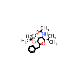 CC(=O)NC1[C@H](C(C)C)OC(Cc2ccccc2)[C@H](OC(C)C)[C@@H]1C